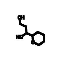 OCCC(O)C1CCCCO1